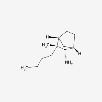 CCCC[C@]1(C)[C@@H]2CC[C@@H](C2)[C@@H]1N